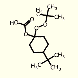 CC(C)(C)OOC1(OC(=O)O)CCC(C(C)(C)C)CC1